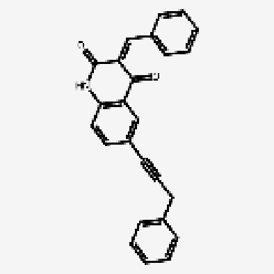 O=C1Nc2ccc(C#CCc3ccccc3)cc2C(=O)/C1=C\c1ccccc1